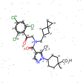 CC1(C(=O)O)CCC(n2ncc(C(=O)N(CC(=O)c3c(Cl)cc(Cl)cc3Cl)CC3CC4(CC4)C3)c2C(F)(F)F)CC1